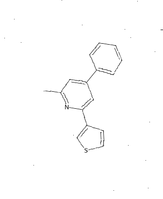 Cc1cc(-c2ccccc2)cc(-c2ccsc2)n1